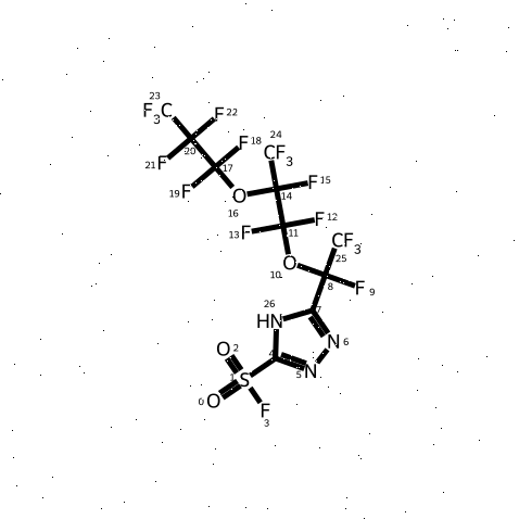 O=S(=O)(F)c1nnc(C(F)(OC(F)(F)C(F)(OC(F)(F)C(F)(F)C(F)(F)F)C(F)(F)F)C(F)(F)F)[nH]1